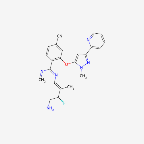 C=N/C(=N\C=C(/C)[C@@H](F)CN)c1ccc(C#N)cc1Oc1cc(-c2ccccn2)nn1C